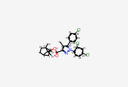 Cc1c(C(=O)OC2CC3CCC2(C)C3(C)C)nn(-c2ccc(Cl)cc2Cl)c1-c1ccc(Cl)cc1